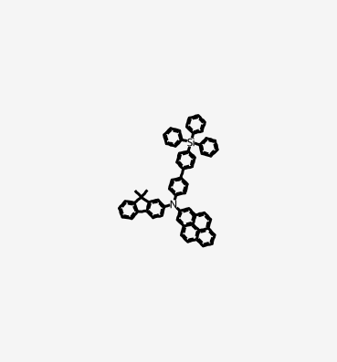 CC1(C)c2ccccc2-c2ccc(N(c3ccc(-c4ccc([Si](c5ccccc5)(c5ccccc5)c5ccccc5)cc4)cc3)c3cc4ccc5cccc6ccc(c3)c4c56)cc21